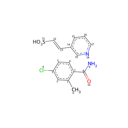 Cc1cc(Cl)ccc1C(N)=O.O=S(=O)(O)C=Cc1cccnc1